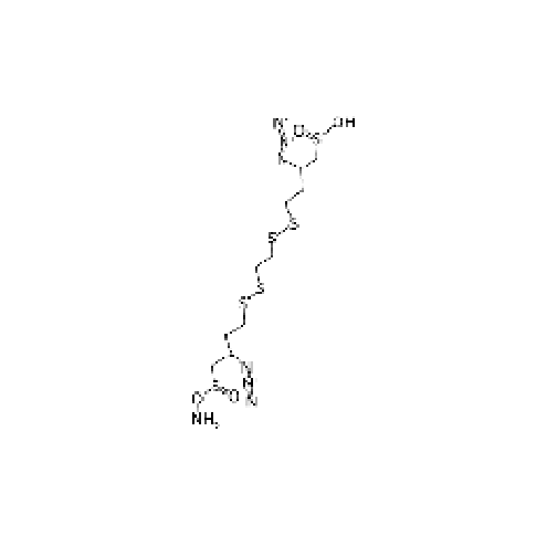 [N-]=[N+]=NC(CCSSCCSSCCC(CS(=O)ON)N=[N+]=[N-])CS(=O)O